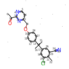 CC(=O)c1nccc(COc2ccc(C(C)(C)c3cc(Cl)c(C)c(C#N)c3)cc2)n1